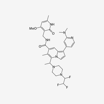 COc1cc(C)[nH]c(=O)c1CNC(=O)c1cc2c(-c3ccnc(N(C)C)c3)ccn2c(C(C)N2CCN(C(F)C(F)F)CC2)c1C